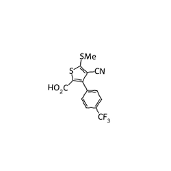 CSc1sc(C(=O)O)c(-c2ccc(C(F)(F)F)cc2)c1C#N